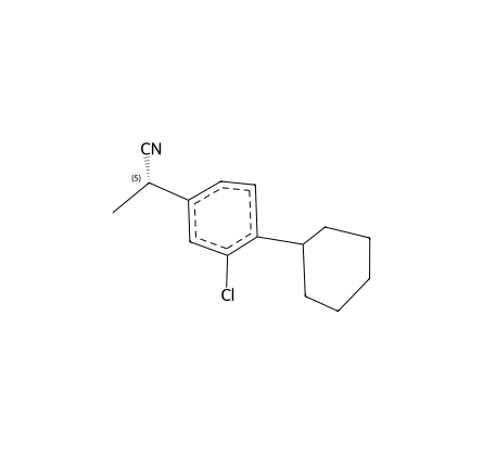 C[C@H](C#N)c1ccc(C2CCCCC2)c(Cl)c1